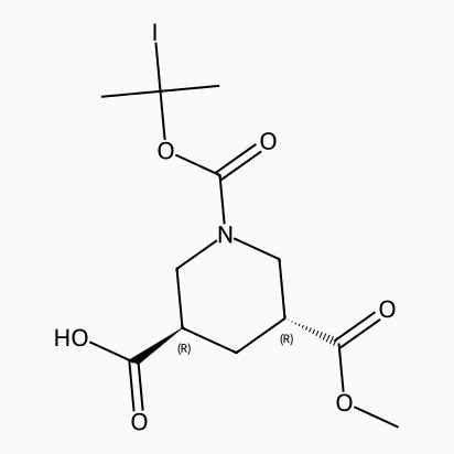 COC(=O)[C@@H]1C[C@@H](C(=O)O)CN(C(=O)OC(C)(C)I)C1